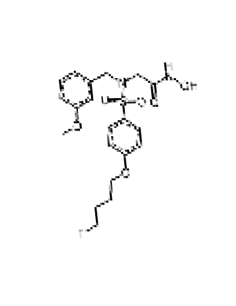 COc1cccc(CN(CC(=O)NO)S(=O)(=O)c2ccc(OCCCCF)cc2)c1